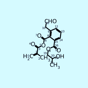 C=C(C)C(=O)OC(=O)c1c(CC=O)cccc1C(=O)OCC(C)O